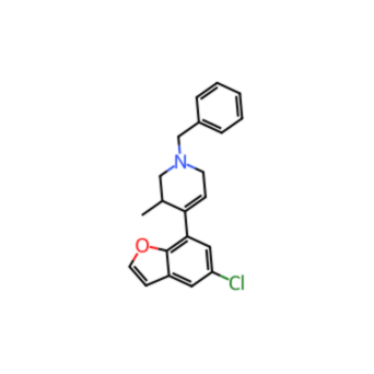 CC1CN(Cc2ccccc2)CC=C1c1cc(Cl)cc2ccoc12